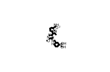 COc1nnc(-c2c(C)nn3c(C(N)=O)cccc23)nc1NCc1cccc(B(O)O)c1